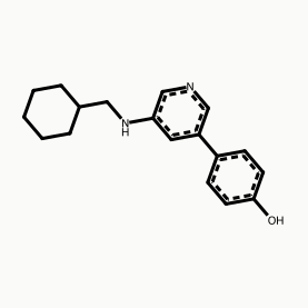 Oc1ccc(-c2cncc(NCC3CCCCC3)c2)cc1